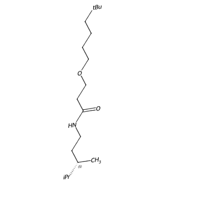 CC(C)[C@@H](C)CCNC(=O)CCOCCCCC(C)(C)C